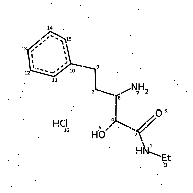 CCNC(=O)C(O)C(N)CCc1ccccc1.Cl